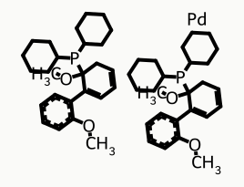 COc1ccccc1C1=CC=CCC1(OC)P(C1CCCCC1)C1CCCCC1.COc1ccccc1C1=CC=CCC1(OC)P(C1CCCCC1)C1CCCCC1.[Pd]